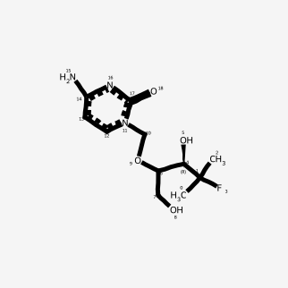 CC(C)(F)[C@H](O)C(CO)OCn1ccc(N)nc1=O